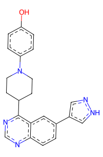 Oc1ccc(N2CCC(c3ncnc4ccc(-c5cn[nH]c5)cc34)CC2)cc1